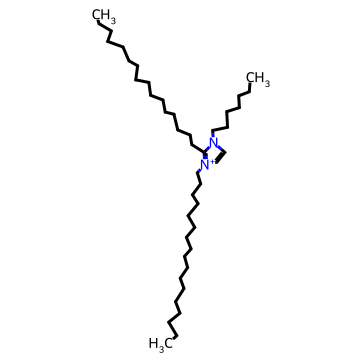 CCCCCCCCCCCCCCCCC[n+]1ccn(CCCCCCC)c1CCCCCCCCCCCCCCCC